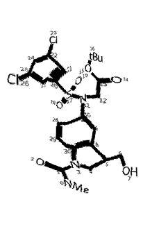 CNC(=O)N1CC(CO)c2cc(N(CC(=O)OC(C)(C)C)S(=O)(=O)c3cc(Cl)cc(Cl)c3)ccc21